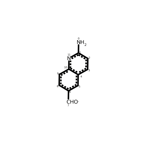 Nc1ccc2cc([C]=O)ccc2n1